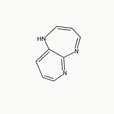 C1=CNc2cccnc2N=C1